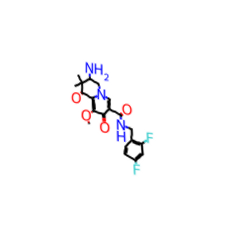 COc1c2n(cc(C(=O)NCc3ccc(F)cc3F)c1=O)CC(N)C(C)(C)C2=O